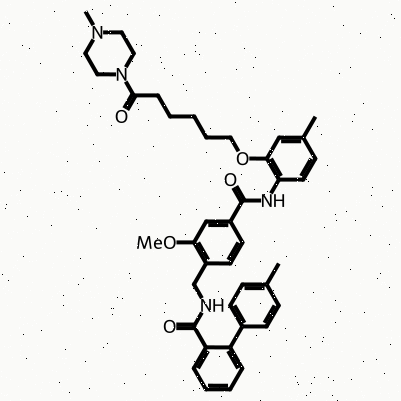 COc1cc(C(=O)Nc2ccc(C)cc2OCCCCCC(=O)N2CCN(C)CC2)ccc1CNC(=O)c1ccccc1-c1ccc(C)cc1